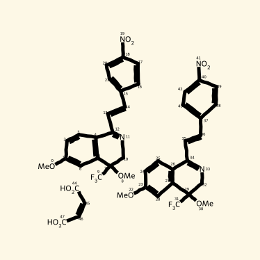 COc1ccc2c(c1)C(OC)(C(F)(F)F)CN=C2/C=C/c1ccc([N+](=O)[O-])cc1.COc1ccc2c(c1)C(OC)(C(F)(F)F)CN=C2/C=C/c1ccc([N+](=O)[O-])cc1.O=C(O)/C=C\C(=O)O